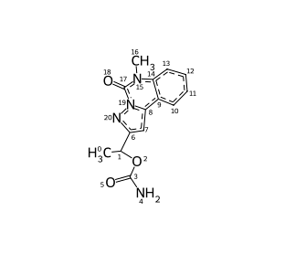 CC(OC(N)=O)c1cc2c3ccccc3n(C)c(=O)n2n1